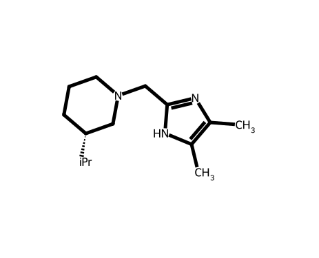 Cc1nc(CN2CCC[C@@H](C(C)C)C2)[nH]c1C